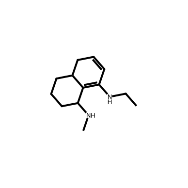 CCNC1=C2C(CC=C1)CCCC2NC